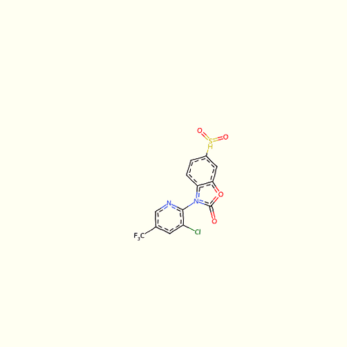 O=c1oc2cc([SH](=O)=O)ccc2n1-c1ncc(C(F)(F)F)cc1Cl